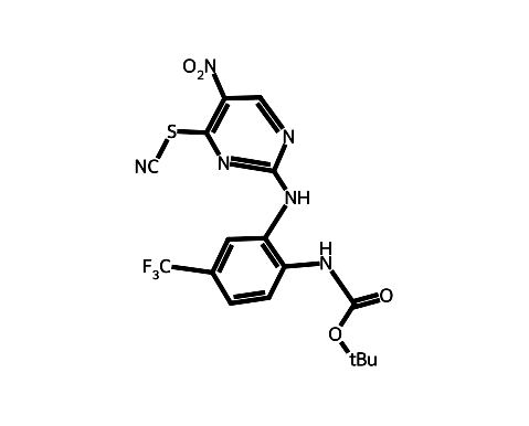 CC(C)(C)OC(=O)Nc1ccc(C(F)(F)F)cc1Nc1ncc([N+](=O)[O-])c(SC#N)n1